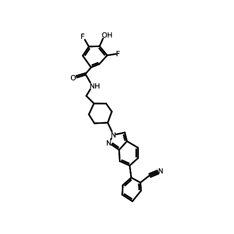 N#Cc1ccccc1-c1ccc2cn(C3CCC(CNC(=O)c4cc(F)c(O)c(F)c4)CC3)nc2c1